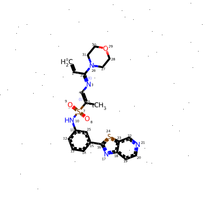 C=C/C(=N\C=C(/C)S(=O)(=O)Nc1cccc(-c2nc3ccncc3s2)c1)N1CCOCC1